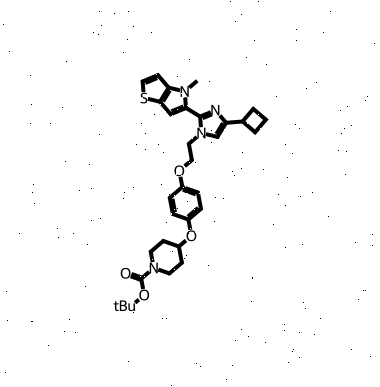 Cn1c(-c2nc(C3CCC3)cn2CCOc2ccc(OC3CCN(C(=O)OC(C)(C)C)CC3)cc2)cc2sccc21